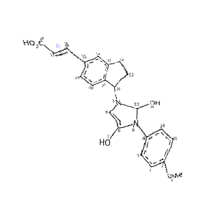 COc1ccc(N2C(O)=CN(C3CCc4cc(/C=C/C(=O)O)ccc43)C2O)cc1